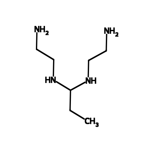 CCC(NCCN)NCCN